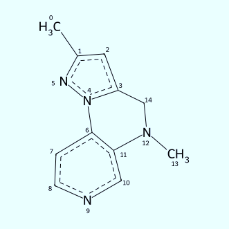 Cc1cc2n(n1)-c1ccncc1N(C)C2